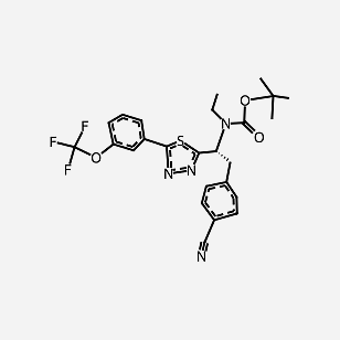 CCN(C(=O)OC(C)(C)C)[C@H](Cc1ccc(C#N)cc1)c1nnc(-c2cccc(OC(F)(F)F)c2)s1